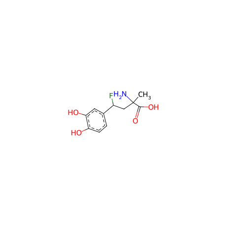 CC(N)(CC(F)c1ccc(O)c(O)c1)C(=O)O